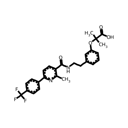 Cc1nc(-c2ccc(C(F)(F)F)cc2)ccc1C(=O)NCCc1cccc(OC(C)(C)C(=O)O)c1